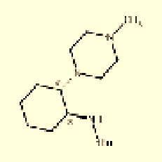 CN1CCN([C@H]2CCCC[C@@H]2NC(C)(C)C)CC1